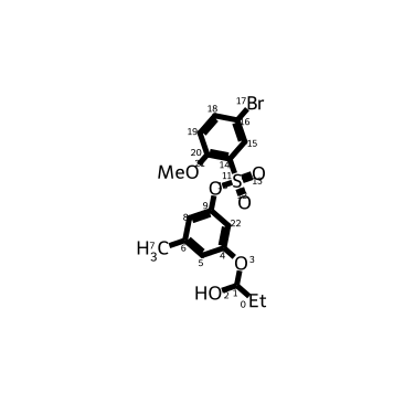 CCC(O)Oc1cc(C)cc(OS(=O)(=O)c2cc(Br)ccc2OC)c1